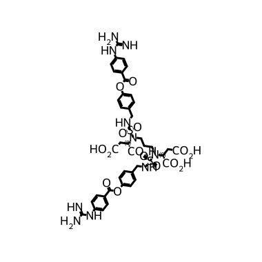 N=C(N)Nc1ccc(C(=O)Oc2ccc(CNS(=O)(=O)N(CCCN([C@@H](CC(=O)O)C(=O)O)S(=O)(=O)NCc3ccc(OC(=O)c4ccc(NC(=N)N)cc4)cc3)[C@@H](CC(=O)O)C(=O)O)cc2)cc1